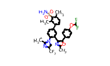 Cc1nc(-c2cc(-c3ccc(C)c(S(N)(=O)=O)c3C)ccc2-n2cc(C(F)(F)F)nc2C)c(-c2ccc(OC(F)F)cc2)o1